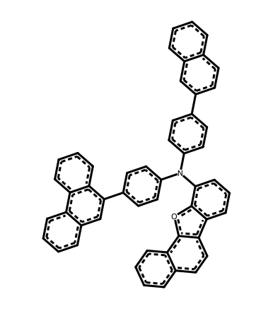 c1ccc2cc(-c3ccc(N(c4ccc(-c5cc6ccccc6c6ccccc56)cc4)c4cccc5c4oc4c6ccccc6ccc54)cc3)ccc2c1